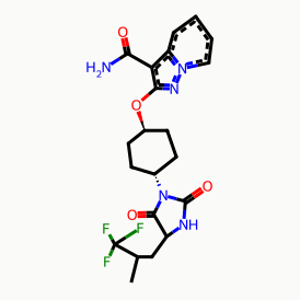 CC(CC1NC(=O)N([C@H]2CC[C@H](Oc3nn4ccccc4c3C(N)=O)CC2)C1=O)C(F)(F)F